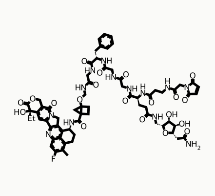 CC[C@@]1(O)C(=O)OCc2c1cc1n(c2=O)Cc2c-1nc1cc(F)c(C)c3c1c2[C@@H](NC(=O)C12CCC1(OCNC(=O)CNC(=O)[C@H](Cc1ccccc1)NC(=O)CNC(=O)CNC(=O)[C@H](CCC(=O)NC[C@H]1O[C@@H](CC(N)=O)[C@H](O)[C@@H]1O)NC(=O)CCNC(=O)CN1C(=O)C=CC1=O)C2)CC3